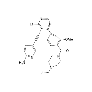 CCc1ncnc(-c2ccc(C(=O)N3CCN(CC(F)(F)F)CC3)c(OC)c2)c1C#Cc1ccc(N)nc1